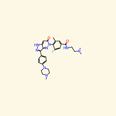 Cc1cc(C(=O)NCCN(C)C)cc(F)c1-n1nc2c(-c3ccc(N4CCN(C)CC4)cc3)n[nH]c2cc1=O